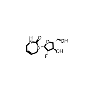 O=C1NCC=CCN1[C@@H]1O[C@H](CO)[C@@H](O)[C@@H]1F